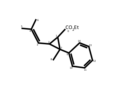 CCOC(=O)C1C(C=C(C)C)C1(C)c1ccccc1